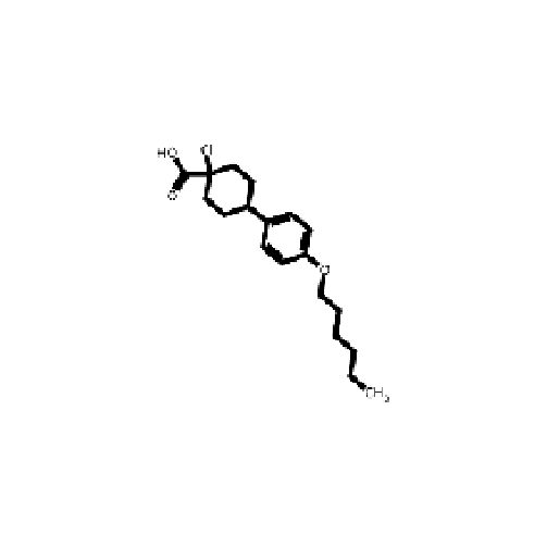 CCCCCCOc1ccc(C2CCC(Cl)(C(=O)O)CC2)cc1